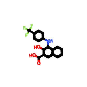 O=C(O)c1cc2ccccc2c(Nc2ccc(C(F)(F)F)cc2)c1O